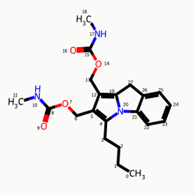 CCCCc1c(COC(=O)NC)c(COC(=O)NC)c2n1-c1ccccc1C2